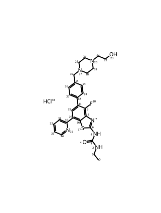 CCNC(=O)Nc1nc2c(F)c(-c3ccc(CN4CCN(CCO)CC4)cc3)cc(-c3ccccn3)c2s1.Cl